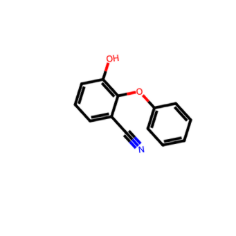 N#Cc1cccc(O)c1Oc1ccccc1